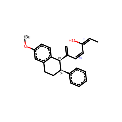 C=C(/C=C\C(O)=C/C)[C@@H]1c2ccc(OC(C)(C)C)cc2CC[C@@H]1c1ccccc1